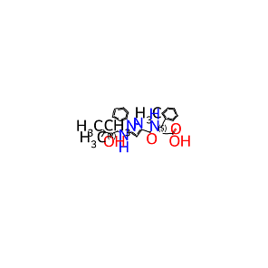 Cc1ccccc1[C@H](CC(=O)O)NC(=O)c1cc(NC[C@H](O)C(C)(C)C)n(-c2ccccc2)n1